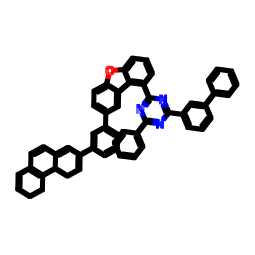 C1=CC2=C(CC1)C1CC=C(c3cccc(-c4ccc5oc6cccc(-c7nc(-c8ccccc8)nc(-c8cccc(-c9ccccc9)c8)n7)c6c5c4)c3)C=C1C=C2